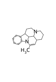 CC1=CC2CCCN3CCC4c5ccccc5N1C4C23